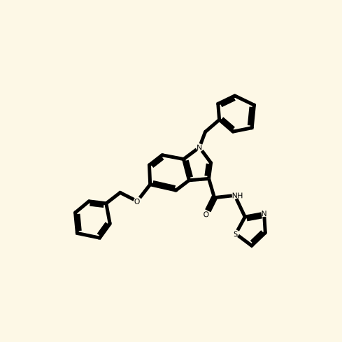 O=C(Nc1nccs1)c1cn(Cc2ccccc2)c2ccc(OCc3ccccc3)cc12